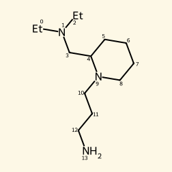 CCN(CC)CC1CCCCN1CCCN